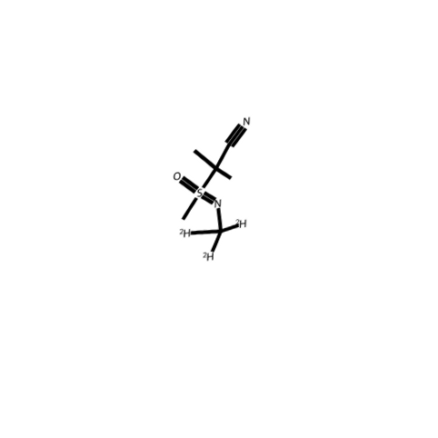 [2H]C([2H])([2H])N=S(C)(=O)C(C)(C)C#N